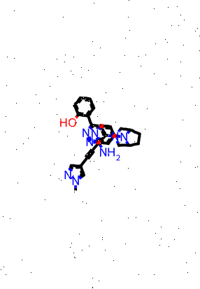 Cn1cc(C#Cc2cc(N3C4CCC3CN(c3cc(-c5ccccc5O)nnc3N)C4)ccn2)cn1